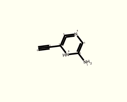 C#CC1=C=NC=C(N)N1